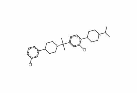 CC(C)N1CCC(c2ccc(C(C)(C)N3CCC(c4cccc(Cl)c4)CC3)cc2Cl)CC1